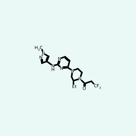 CCC1CN(c2ccnc(Nc3cnn(C)c3)n2)CCN1C(=O)CC(F)(F)F